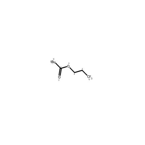 CC(C)(C)C(=O)OCCC(F)(F)F